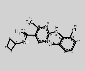 C=C(NC1CCC1)c1cnc(Nc2c(Cl)cccc2Cl)nc1C(F)(F)F